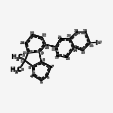 CC1(C)c2ccccc2-c2c(-c3ccc4cc(I)ccc4c3)cccc21